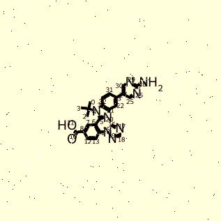 CC(C)(C)n1c(-c2cc(C(=O)O)ccc2-n2cncn2)nc2cc(-c3cnc(N)nc3)ccc21